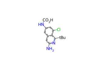 CC(C)(C)c1nc(N)cc2cc(NC(=O)O)cc(Cl)c12